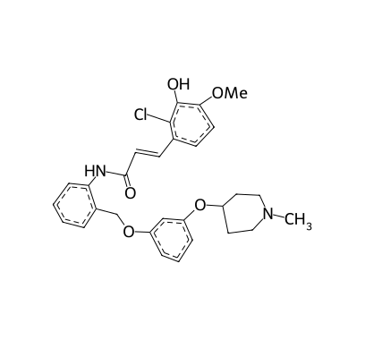 COc1ccc(/C=C/C(=O)Nc2ccccc2COc2cccc(OC3CCN(C)CC3)c2)c(Cl)c1O